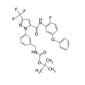 CC(C)(C)OC(=O)NCc1cccc(-n2nc(C(F)(F)F)cc2C(=O)Nc2cc(Oc3ccccc3)ccc2F)c1